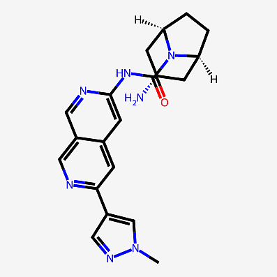 Cn1cc(-c2cc3cc(NC(=O)N4[C@@H]5CC[C@H]4C[C@H](N)C5)ncc3cn2)cn1